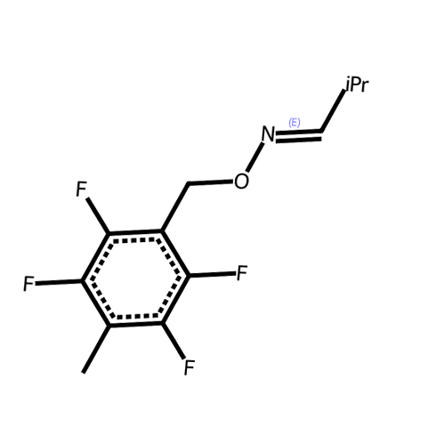 Cc1c(F)c(F)c(CO/N=C/C(C)C)c(F)c1F